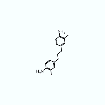 Cc1cc(CCCc2ccc(N)c(C)c2)ccc1N